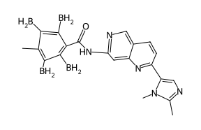 Bc1c(B)c(C(=O)Nc2cc3nc(-c4cnc(C)n4C)ccc3cn2)c(B)c(B)c1C